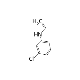 C=CNc1cccc(Cl)c1